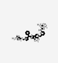 Cn1c2nc(C(c3ccccc3)c3ccn(COCC[Si](C)(C)C)n3)sc2c2cnn(Cc3cccc(NC(=O)OC(C)(C)C)n3)c(=O)c21